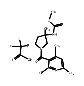 Cc1cc(C(F)(F)F)nc(Cl)c1C(=O)N1CCC(C)(NC(=O)OC(C)(C)C)C1.O=C(O)C(F)(F)F